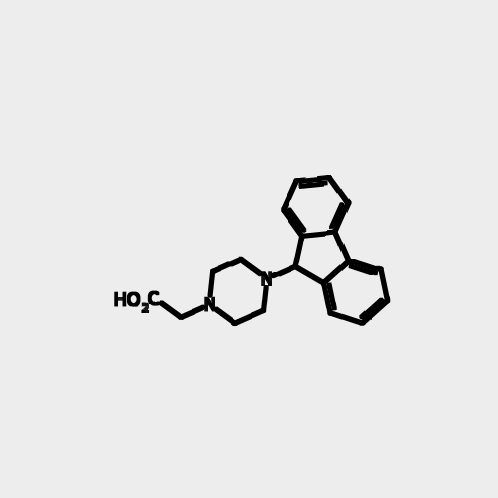 O=C(O)CN1CCN(C2c3ccccc3-c3ccccc32)CC1